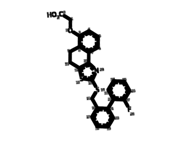 O=C(O)COc1cccc2c1CCc1sc(SCc3ccccc3-c3ccccc3F)nc1-2